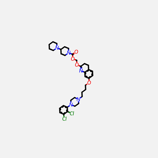 O=C(OCOC1=Nc2cc(OCCCCN3CCN(c4cccc(Cl)c4Cl)CC3)ccc2CC1)N1CCC(N2CCCCC2)CC1